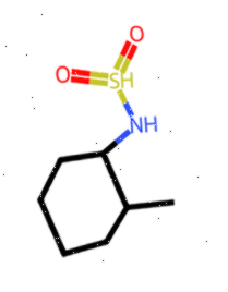 CC1CCCCC1N[SH](=O)=O